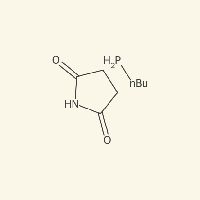 CCCCP.O=C1CCC(=O)N1